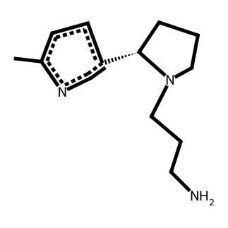 Cc1ccc([C@@H]2CCCN2CCCN)cn1